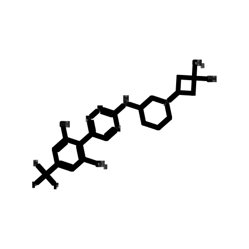 Cc1cc(C(F)(F)F)cc(O)c1-c1cnc(NC2CCCN(C3CC(C)(O)C3)C2)nn1